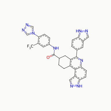 O=C(Nc1ccc(-n2cnnc2)c(C(F)(F)F)c1)C1CCc2c(c(-c3ccc4[nH]ncc4c3)nc3ccc4[nH]ncc4c23)C1